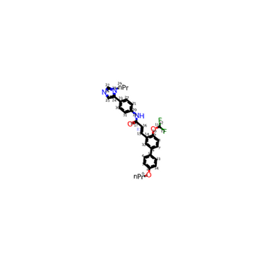 CCCOc1ccc(-c2ccc(OC(F)F)c(/C=C/C(=O)Nc3ccc(-c4cncn4CCC)cc3)c2)cc1